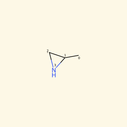 CC1[CH]N1